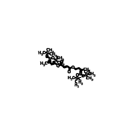 CC(CCOC(=O)C=CC(=O)OCCC(C)[SiH](O[Si](C)(C)C)O[Si](C)(C)C)[SiH](O[Si](C)(C)C)O[Si](C)(C)C